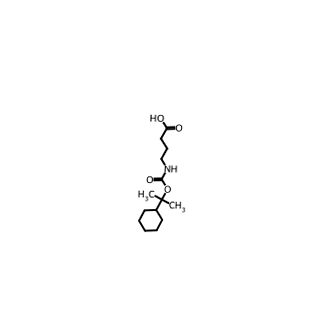 CC(C)(OC(=O)NCCCC(=O)O)C1CCCCC1